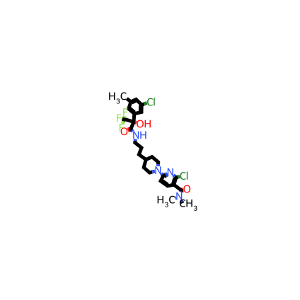 Cc1cc(Cl)cc(C(O)(C(=O)NCCCC2CCN(c3ccc(C(=O)N(C)C)c(Cl)n3)CC2)C(F)(F)F)c1